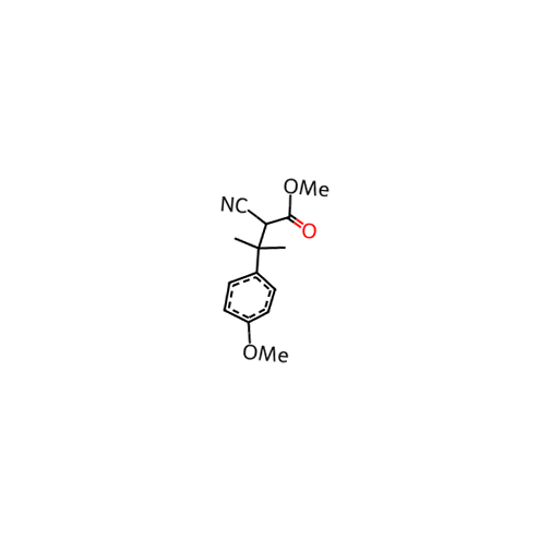 COC(=O)C(C#N)C(C)(C)c1ccc(OC)cc1